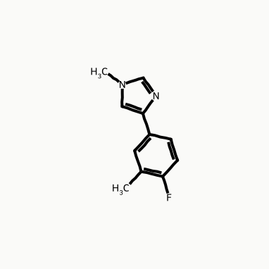 Cc1cc(-c2cn(C)cn2)ccc1F